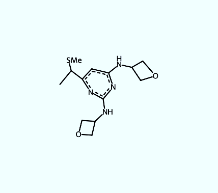 CSC(C)c1cc(NC2COC2)nc(NC2COC2)n1